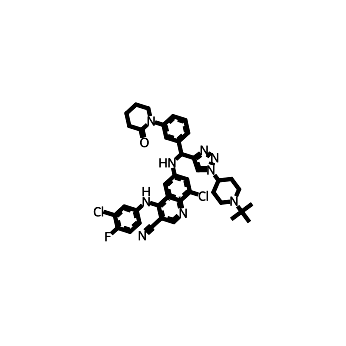 CC(C)(C)N1CCC(n2cc(C(Nc3cc(Cl)c4ncc(C#N)c(Nc5ccc(F)c(Cl)c5)c4c3)c3cccc(N4CCCCC4=O)c3)nn2)CC1